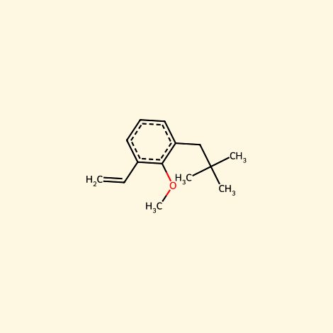 C=Cc1cccc(CC(C)(C)C)c1OC